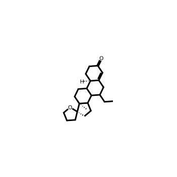 CCC1CC2=CC(=O)CC[C@@H]2C2CC[C@@]3(C)C(CC[C@@]34CCCO4)C12